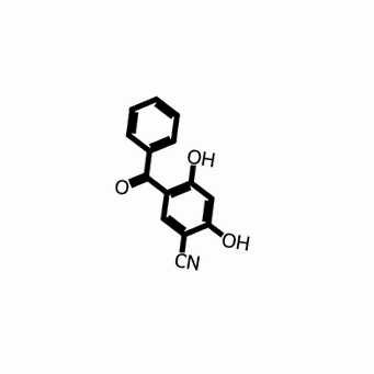 N#Cc1cc(C(=O)c2ccccc2)c(O)cc1O